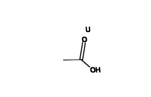 CC(=O)O.[U]